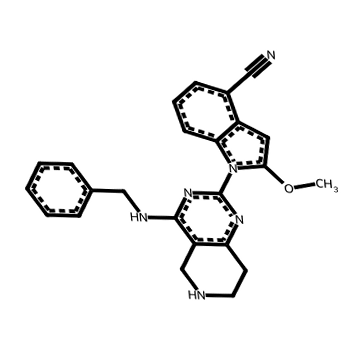 COc1cc2c(C#N)cccc2n1-c1nc2c(c(NCc3ccccc3)n1)CNCC2